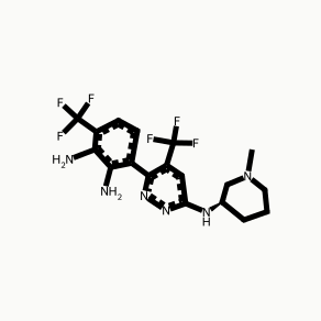 CN1CCC[C@@H](Nc2cc(C(F)(F)F)c(-c3ccc(C(F)(F)F)c(N)c3N)nn2)C1